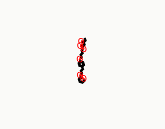 CCC(=O)CC(=O)OCCCCOc1ccc(CCCOC2CCCCO2)cc1